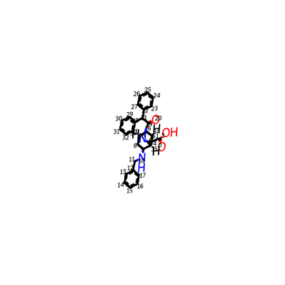 O=C(O)[C@@H]1[C@H]2CC[C@H](CC2NCc2ccccc2)N1C(=O)C(c1ccccc1)c1ccccc1